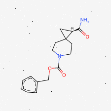 NC(=O)[C@@H]1CC12CCN(C(=O)OCc1ccccc1)CC2